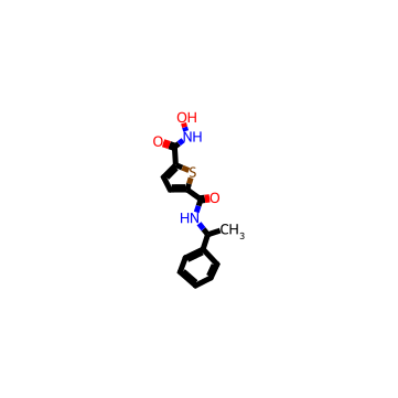 CC(NC(=O)c1ccc(C(=O)NO)s1)c1ccccc1